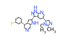 Cc1ncc(-c2cnc3[nH]nc(-c4cc5c(-c6cccc(F)c6)cncc5[nH]4)c3c2)n1C